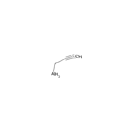 C#C[CH2][AlH2]